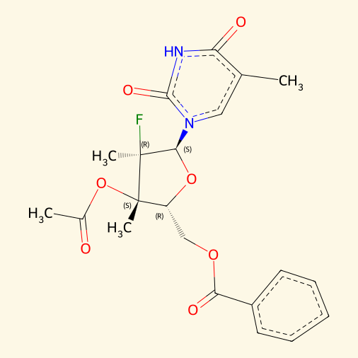 CC(=O)O[C@@]1(C)[C@@H](COC(=O)c2ccccc2)O[C@H](n2cc(C)c(=O)[nH]c2=O)[C@]1(C)F